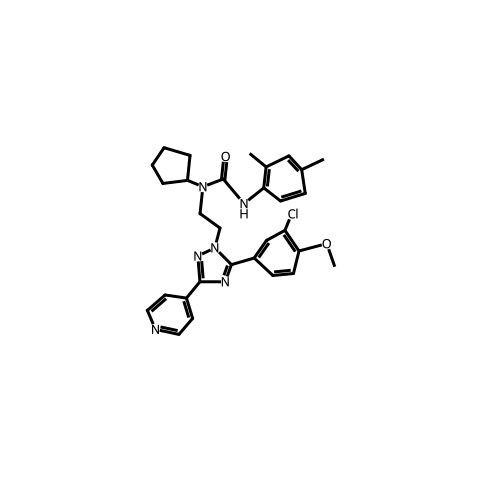 COc1ccc(-c2nc(-c3ccncc3)nn2CCN(C(=O)Nc2ccc(C)cc2C)C2CCCC2)cc1Cl